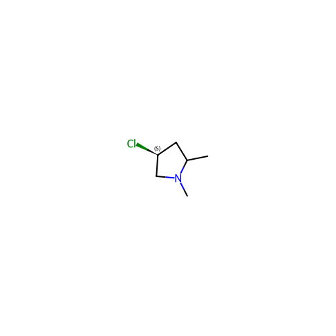 CC1C[C@H](Cl)CN1C